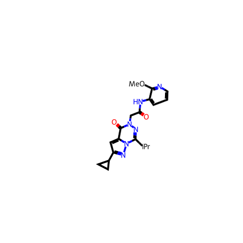 COc1ncccc1NC(=O)Cn1nc(C(C)C)n2nc(C3CC3)cc2c1=O